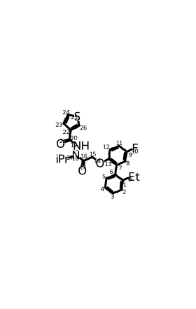 CCc1ccccc1-c1cc(F)ccc1OCC(=O)N(NC(=O)c1ccsc1)C(C)C